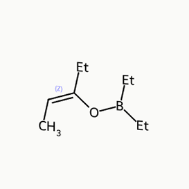 C/C=C(/CC)OB(CC)CC